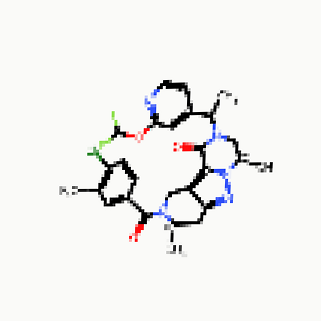 CC(c1ccnc(OC(F)F)c1)N1C[C@@H](C)n2nc3c(c2C1=O)CN(C(=O)c1ccc(Cl)c(C(F)(F)F)c1)[C@H](C)C3